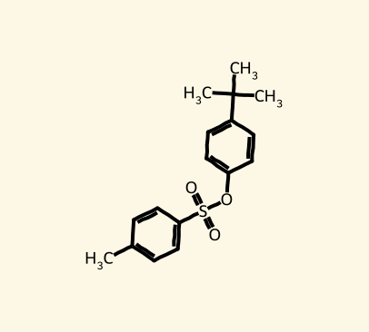 Cc1ccc(S(=O)(=O)Oc2ccc(C(C)(C)C)cc2)cc1